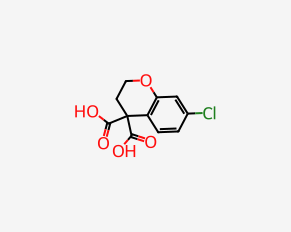 O=C(O)C1(C(=O)O)CCOc2cc(Cl)ccc21